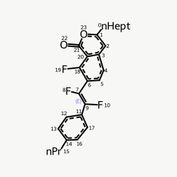 CCCCCCCc1cc2ccc(/C(F)=C(\F)c3ccc(CCC)cc3)c(F)c2c(=O)o1